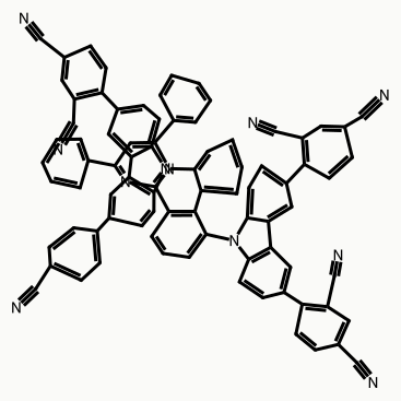 N#Cc1ccc(-c2ccc3c(c2)c2cc(-c4ccc(C#N)cc4C#N)ccc2n3-c2ccccc2-c2c(-c3nc(-c4ccccc4)cc(-c4ccccc4)n3)cccc2-n2c3ccc(-c4ccc(C#N)cc4C#N)cc3c3cc(-c4ccc(C#N)cc4C#N)ccc32)cc1